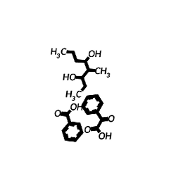 CCCC(O)C(C)C(O)CC.O=C(O)C(=O)c1ccccc1.O=C(O)c1ccccc1